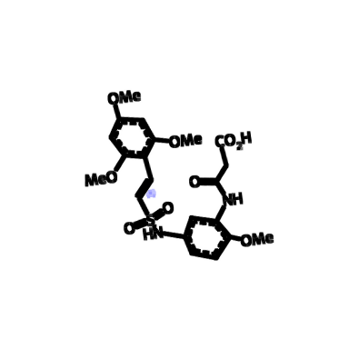 COc1cc(OC)c(/C=C/S(=O)(=O)Nc2ccc(OC)c(NC(=O)CC(=O)O)c2)c(OC)c1